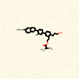 C=C(C)C(=O)OCCc1cc(-c2ccc(-c3ccc4cc(CCCCC)ccc4c3)c(F)c2)ccc1CCCO